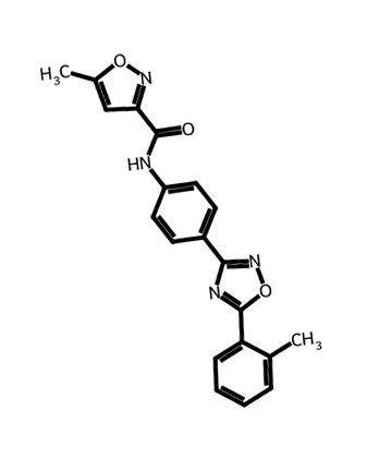 Cc1cc(C(=O)Nc2ccc(-c3noc(-c4ccccc4C)n3)cc2)no1